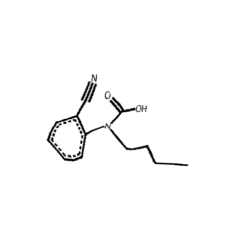 CCCCN(C(=O)O)c1ccccc1C#N